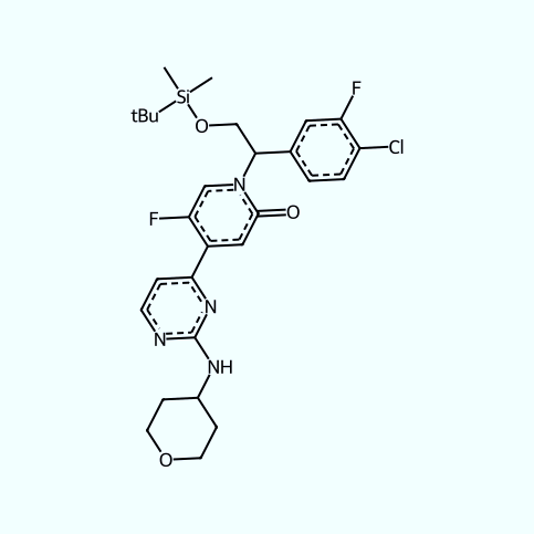 CC(C)(C)[Si](C)(C)OCC(c1ccc(Cl)c(F)c1)n1cc(F)c(-c2ccnc(NC3CCOCC3)n2)cc1=O